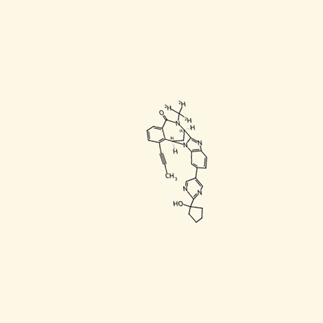 [2H]C([2H])([2H])N1C(=O)c2cccc(C#CC)c2[C@H]2C[C@@H]1c1nc3ccc(-c4cnc(C5(O)CCCC5)nc4)cc3n12